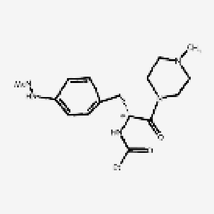 CCC(=O)N[C@H](Cc1ccc(NNC)cc1)C(=O)N1CCN(C)CC1